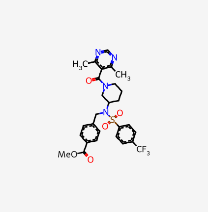 COC(=O)c1ccc(CN(C2CCCN(C(=O)c3c(C)ncnc3C)C2)S(=O)(=O)c2ccc(C(F)(F)F)cc2)cc1